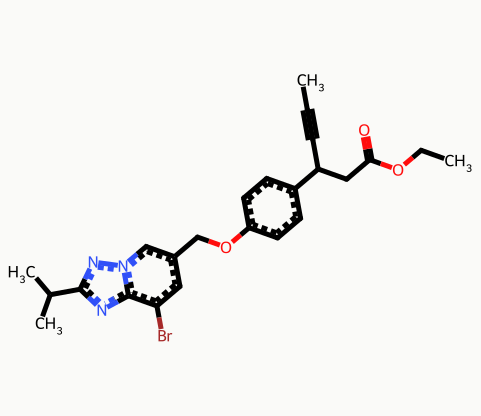 CC#CC(CC(=O)OCC)c1ccc(OCc2cc(Br)c3nc(C(C)C)nn3c2)cc1